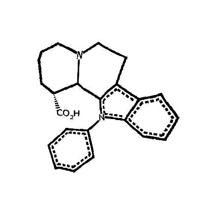 O=C(O)[C@@H]1CCCN2CCc3c(n(-c4ccccc4)c4ccccc34)C12